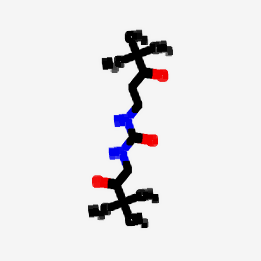 CC(C)(C)C(=O)CCNC(=O)NCC(=O)C(C)(C)C